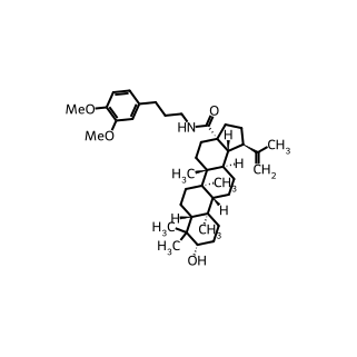 C=C(C)[C@@H]1CC[C@]2(C(=O)NCCCc3ccc(OC)c(OC)c3)CC[C@]3(C)[C@H](CC[C@@H]4[C@@]5(C)CC[C@H](O)C(C)(C)[C@@H]5CC[C@]43C)[C@@H]12